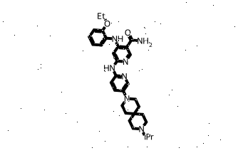 CCOc1ccccc1Nc1cc(Nc2ccc(N3CCC4(CC3)CCN(C(C)C)CC4)cn2)ncc1C(N)=O